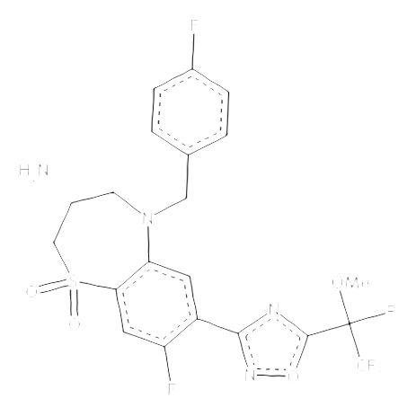 COC(F)(c1nc(-c2cc3c(cc2F)S(=O)(=O)C[C@H](N)CN3Cc2ccc(F)cc2)no1)C(F)(F)F